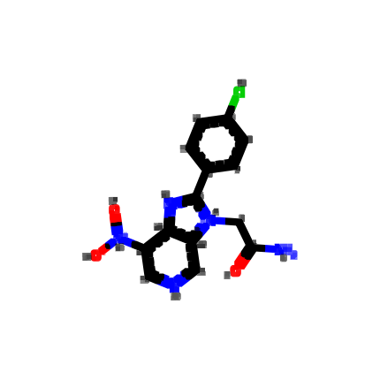 NC(=O)Cn1c(-c2ccc(Cl)cc2)nc2c([N+](=O)[O-])cncc21